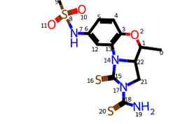 CC1Oc2ccc(NS(C)(=O)=O)cc2N2C(=S)N(C(N)=S)CC12